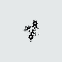 NC(CON1C(=O)c2ccccc2C1=O)Cc1ccc(Cl)cc1Cl.O=C(O)C(F)(F)F